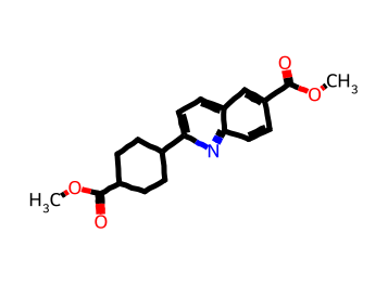 COC(=O)c1ccc2nc(C3CCC(C(=O)OC)CC3)ccc2c1